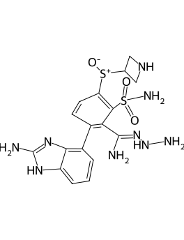 NN/N=C(\N)c1c(-c2cccc3[nH]c(N)nc23)ccc([S+]([O-])C2CNC2)c1S(N)(=O)=O